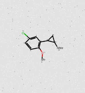 CCCOc1ccc(Cl)cc1C1CC1NC